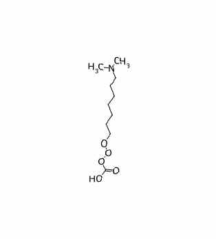 CN(C)CCCCCCCOOOC(=O)O